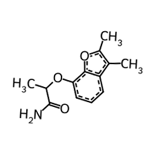 Cc1oc2c(OC(C)C(N)=O)cccc2c1C